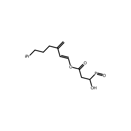 C=C(C=COC(=O)CC(O)P=O)CCCC(C)C